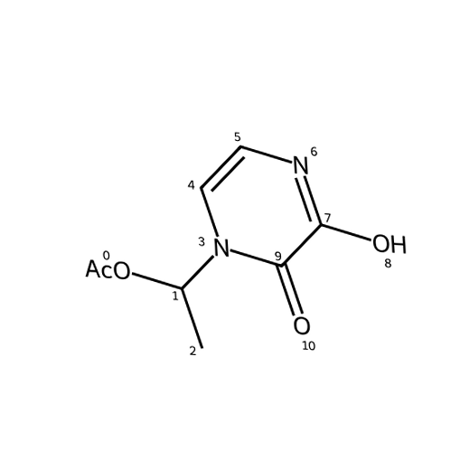 CC(=O)OC(C)n1ccnc(O)c1=O